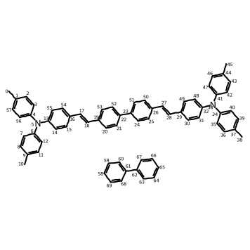 Cc1ccc(N(c2ccc(C)cc2)c2ccc(C=Cc3ccc(-c4ccc(C=Cc5ccc(N(c6ccc(C)cc6)c6ccc(C)cc6)cc5)cc4)cc3)cc2)cc1.c1ccc(-c2ccccc2)cc1